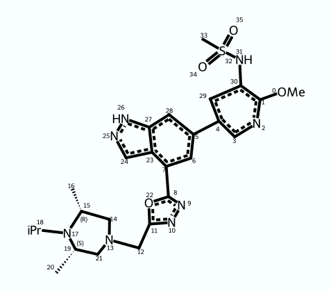 COc1ncc(-c2cc(-c3nnc(CN4C[C@@H](C)N(C(C)C)[C@@H](C)C4)o3)c3cn[nH]c3c2)cc1NS(C)(=O)=O